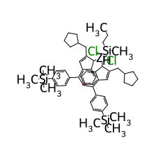 CCC[SiH](C)[Zr]([Cl])([Cl])([CH]1C(CC2CCCC2)=Cc2c(-c3ccc([Si](C)(C)C)cc3)cccc21)[CH]1C(CC2CCCC2)=Cc2c(-c3ccc([Si](C)(C)C)cc3)cccc21